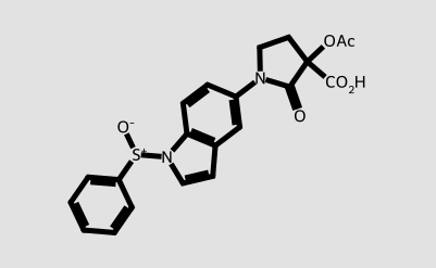 CC(=O)OC1(C(=O)O)CCN(c2ccc3c(ccn3[S+]([O-])c3ccccc3)c2)C1=O